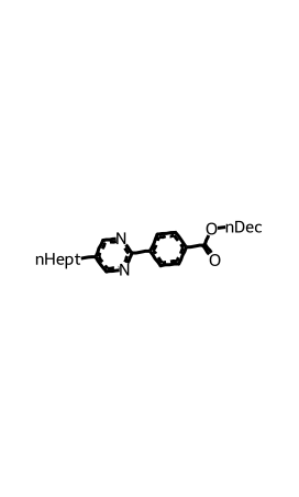 CCCCCCCCCCOC(=O)c1ccc(-c2ncc(CCCCCCC)cn2)cc1